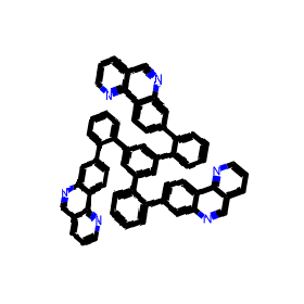 c1ccc(-c2ccc3c(c2)ncc2cccnc23)c(-c2cc(-c3ccccc3-c3ccc4c(c3)ncc3cccnc34)cc(-c3ccccc3-c3ccc4c(c3)ncc3cccnc34)c2)c1